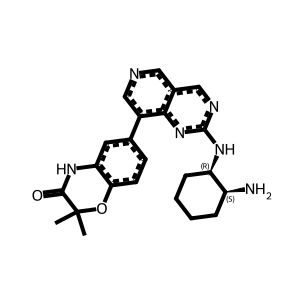 CC1(C)Oc2ccc(-c3cncc4cnc(N[C@@H]5CCCC[C@@H]5N)nc34)cc2NC1=O